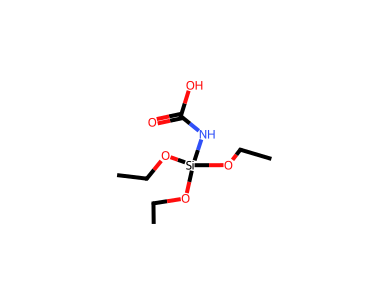 CCO[Si](NC(=O)O)(OCC)OCC